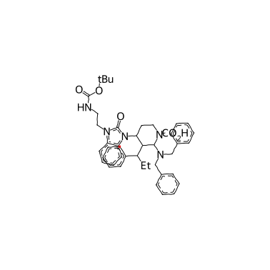 CCC(c1ccccc1)C1C(N(Cc2ccccc2)Cc2ccccc2)N(C(=O)O)CCC1n1c(=O)n(CCNC(=O)OC(C)(C)C)c2ccccc21